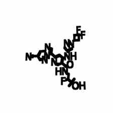 CC(C)(O)C(F)CNC(=O)c1cnc(-c2cnc3cc(C#N)cnn23)cc1Nc1cnn(C2CC(F)(F)C2)c1